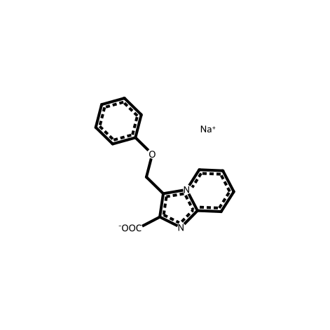 O=C([O-])c1nc2ccccn2c1COc1ccccc1.[Na+]